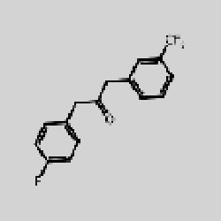 O=C(Cc1ccc(F)cc1)Cc1cccc(C(F)(F)F)c1